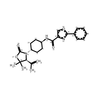 C=C(C)[C@@H]1N([C@H]2CC[C@H](NC(=O)c3coc(-c4ccccc4)n3)CC2)C(=O)OC1(C)C